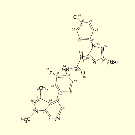 Cc1nn(C)c2cncc(-c3ccc(NC(=O)Nc4cc(C(C)(C)C)nn4-c4ccc(Cl)cc4)c(F)c3)c12